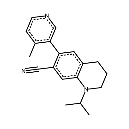 Cc1ccncc1-c1cc2c(cc1C#N)N(C(C)C)CCC2